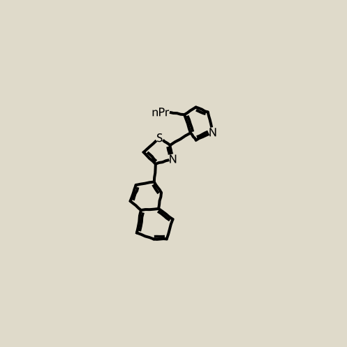 CCCc1ccncc1-c1nc(-c2ccc3ccccc3c2)cs1